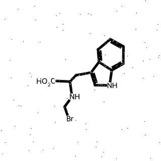 O=C(O)C(Cc1c[nH]c2ccccc12)NCBr